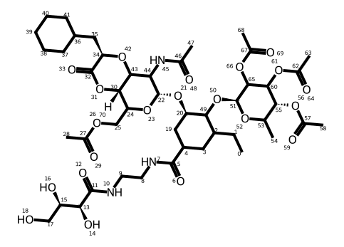 CCC1CC(C(=O)NCCNC(=O)[C@@H](O)[C@H](O)CO)C[C@@H](O[C@@H]2OC(COC(C)=O)[C@@H]3OC(=O)[C@@H](CC4CCCCC4)OC3C2NC(C)=O)C1O[C@@H]1OC(C)[C@@H](OC(C)=O)C(OC(C)=O)C1OC(C)=O